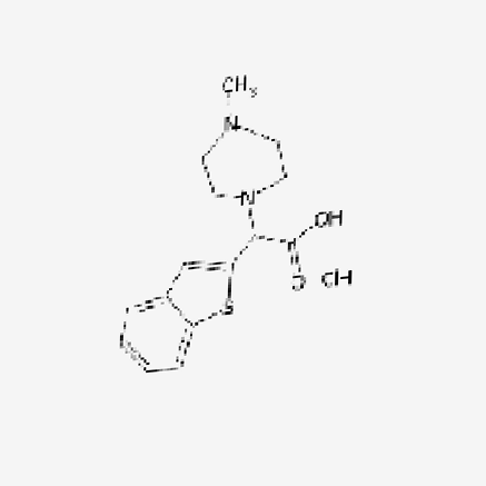 CN1CCN(C(C(=O)O)c2cc3ccccc3s2)CC1.Cl